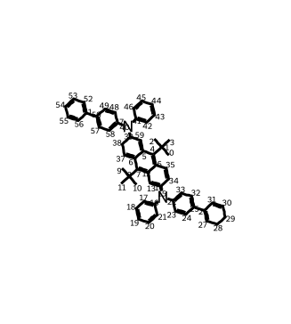 CC(C)(C)c1c2c(c(C(C)(C)C)c3cc(N(c4ccccc4)c4ccc(C5=CCCC=C5)cc4)ccc13)=CCC(N(c1ccccc1)c1ccc(-c3ccccc3)cc1)C=2